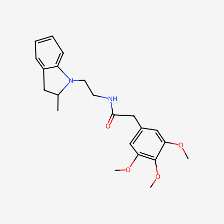 COc1cc(CC(=O)NCCN2c3ccccc3CC2C)cc(OC)c1OC